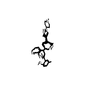 Cc1ccc(F)c(-c2cc(-c3cncc(-c4cnn(C5CCN(C)CC5)c4)c3)c3cccnc3n2)c1